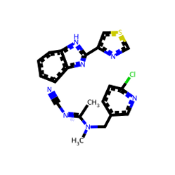 C/C(=N\C#N)N(C)Cc1ccc(Cl)nc1.c1ccc2[nH]c(-c3cscn3)nc2c1